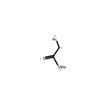 CSC(=S)CC(C)=O